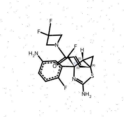 NC1=N[C@](CF)(c2cc(N)ccc2F)[C@@H]2C[C@]2(/C=C/C(=O)N2CC(F)(F)C2)S1